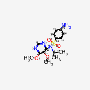 COc1ncnc(N(C(C)C)S(=O)(=O)c2ccc(N)cc2)c1OC